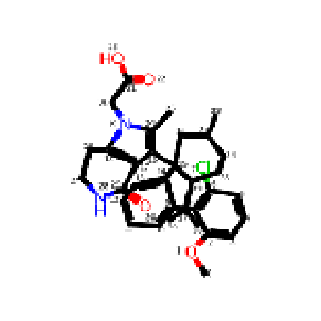 COc1cccc(Cl)c1-c1ccccc1C1(c2c3c(n(CC(=O)O)c2C)CCNC3=O)CC(C)CCC1C(C)C